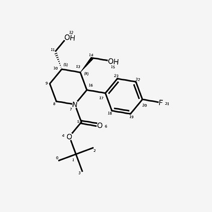 CC(C)(C)OC(=O)N1CC[C@H](CO)[C@@H](CO)C1c1ccc(F)cc1